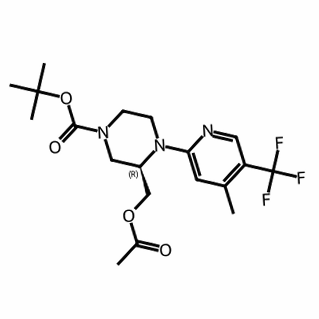 CC(=O)OC[C@H]1CN(C(=O)OC(C)(C)C)CCN1c1cc(C)c(C(F)(F)F)cn1